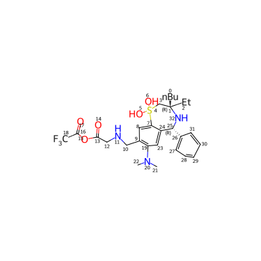 CCCC[C@]1(CC)CS(O)(O)c2cc(CNCC(=O)OC(=O)C(F)(F)F)c(N(C)C)cc2[C@@H](c2ccccc2)N1